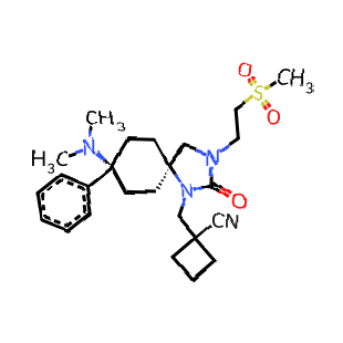 CN(C)[C@]1(c2ccccc2)CC[C@]2(CC1)CN(CCS(C)(=O)=O)C(=O)N2CC1(C#N)CCC1